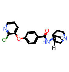 O=C(N[C@H]1CN2CCC1CC2)c1ccc(Oc2cccnc2Cl)cc1